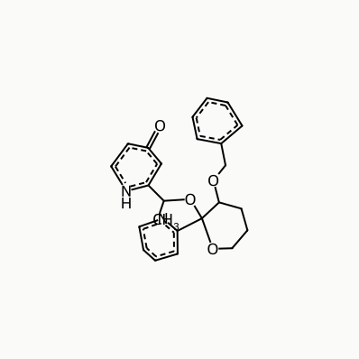 CC(OC1(c2ccccn2)OCCCC1OCc1ccccc1)c1cc(=O)cc[nH]1